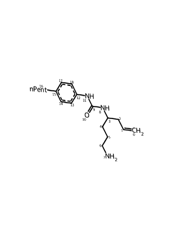 C=CCC(CCCN)NC(=O)Nc1ccc(CCCCC)cc1